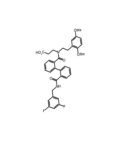 COc1ccc(OC)c(CCN(CCC(=O)O)C(=O)c2ccccc2-c2ccccc2C(=O)NCc2cc(F)cc(F)c2)c1